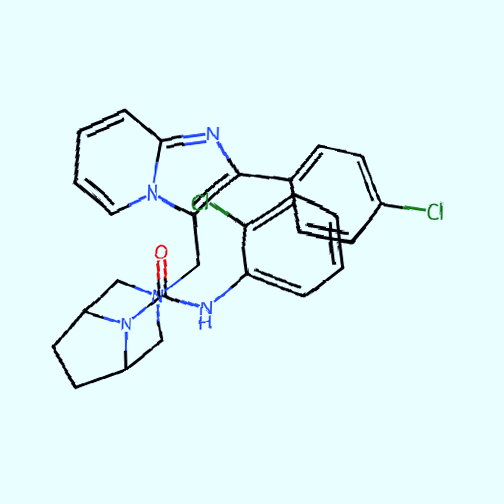 O=C(Nc1ccccc1Cl)N1C2CCC1CN(Cc1c(-c3ccc(Cl)cc3)nc3ccccn13)C2